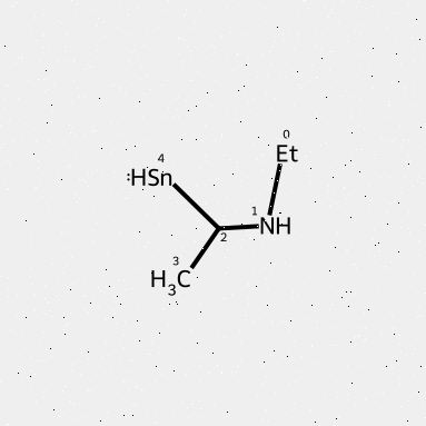 CCN[CH](C)[SnH]